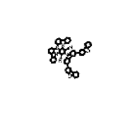 N#Cc1c(-n2c3ccc(-c4ccc5oc6ccccc6c5c4)cc3c3cc(-c4ccc5oc6ccccc6c5c4)ccc32)c(C#N)c2c3c1-n1c4ccccc4c4cccc(c41)B3c1cccc3c4ccccc4n-2c13